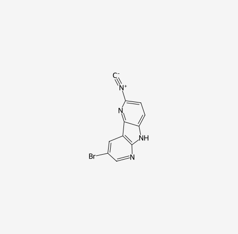 [C-]#[N+]c1ccc2[nH]c3ncc(Br)cc3c2n1